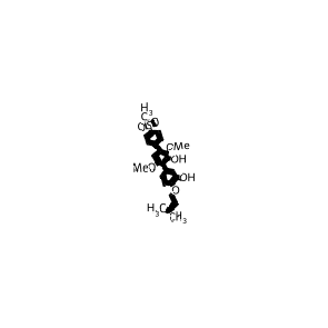 COc1cc(-c2ccc(S(C)(=O)=O)cc2)c(OC)c(O)c1-c1ccc(OCC=C(C)C)c(O)c1